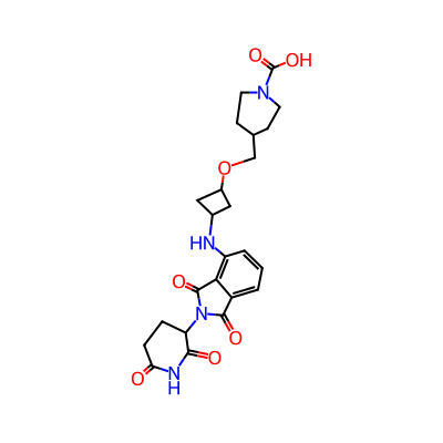 O=C1CCC(N2C(=O)c3cccc(NC4CC(OCC5CCN(C(=O)O)CC5)C4)c3C2=O)C(=O)N1